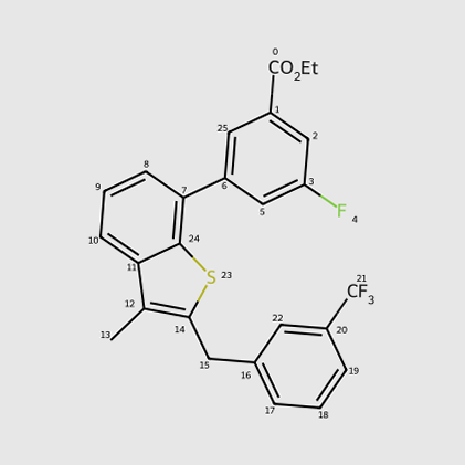 CCOC(=O)c1cc(F)cc(-c2cccc3c(C)c(Cc4cccc(C(F)(F)F)c4)sc23)c1